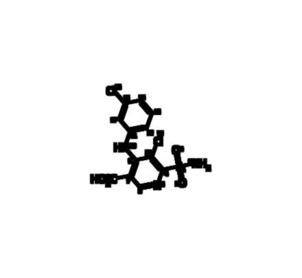 NS(=O)(=O)c1ncc(C(=O)O)c(Nc2cccc(Cl)c2)c1Cl